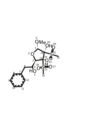 CO[C@H]1O[C@H](C(O)Cc2ccccc2)[C@](O)(S(C)(=O)=O)[C@]1(O)S(C)(=O)=O